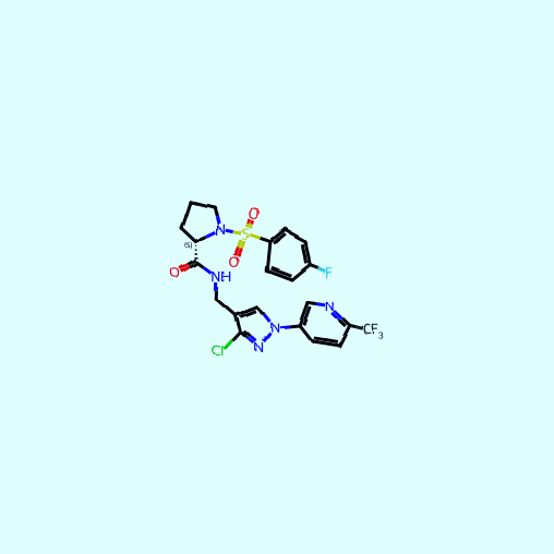 O=C(NCc1cn(-c2ccc(C(F)(F)F)nc2)nc1Cl)[C@@H]1CCCN1S(=O)(=O)c1ccc(F)cc1